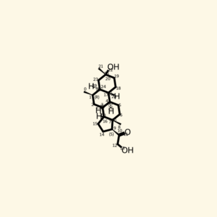 C[C@@H]1C[C@@H]2[C@H](CC[C@]3(C)[C@@H](C(=O)CO)CC[C@@H]23)[C@H]2CC[C@@](C)(O)C[C@@H]21